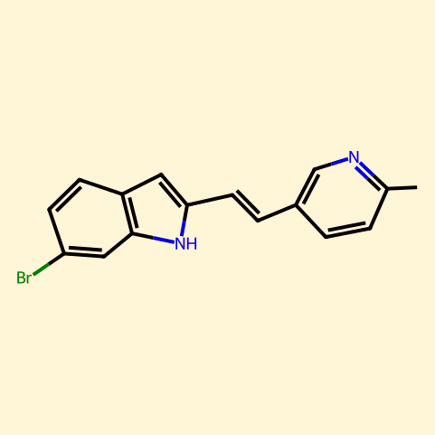 Cc1ccc(C=Cc2cc3ccc(Br)cc3[nH]2)cn1